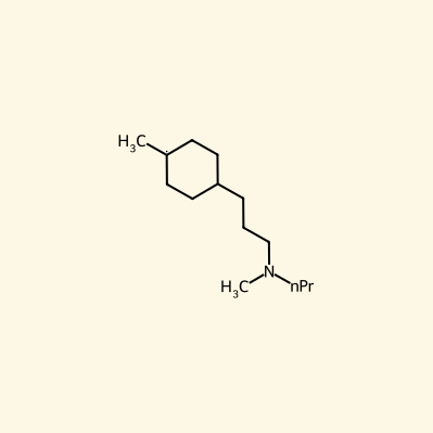 CCCN(C)CCCC1CC[C](C)CC1